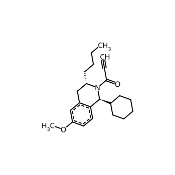 C#CC(=O)N1[C@@H](CCCC)Cc2cc(OC)ccc2[C@@H]1C1CCCCC1